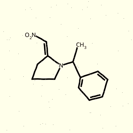 CC(c1ccccc1)N1CCCC1=C[N+](=O)[O-]